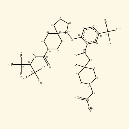 O=C(O)CN1CCC2(CC1)CCN(c1cc(C(F)(F)F)ccc1CN1CCCC13CCN(C(=O)OC(C(F)(F)F)C(F)(F)F)CC3)C2